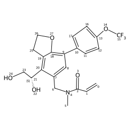 C=CC(=O)N(C)Cc1cc(-c2ccc(OC(F)(F)F)cc2)c2c(c1[C@H](O)CO)CCO2